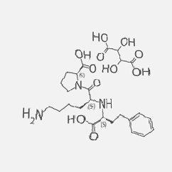 NCCCC[C@H](N[C@@H](CCc1ccccc1)C(=O)O)C(=O)N1CCC[C@H]1C(=O)O.O=C(O)C(O)C(O)C(=O)O